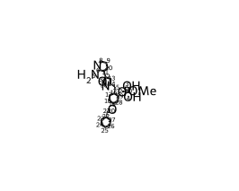 COP(=O)(O)O.Nc1ncccc1-c1cc(Cc2ccc(OCc3ccccc3)cc2)no1